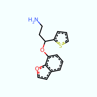 NCCC(Oc1cccc2ccoc12)c1cccs1